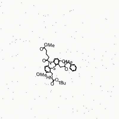 COC(=O)CCCC(=O)N1c2ccc(OC)c(CNC(=O)OC(C)(C)C)c2Sc2c1ccc(OC)c2CC(=O)OCc1ccccc1